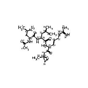 CC(=O)N[C@@H](CC(C)C)C(=O)N[C@@H](CC(C)C)C(=O)N[C@@H](CCCNC(=N)N)C(=O)C[C@@]1(C)CO1